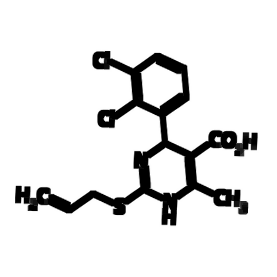 C=CCSC1=NC(c2cccc(Cl)c2Cl)C(C(=O)O)=C(C)N1